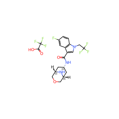 O=C(N[C@H]1C[C@H]2COC[C@@H](C1)N2)c1cn(CC(F)(F)F)c2ccc(F)cc12.O=C(O)C(F)(F)F